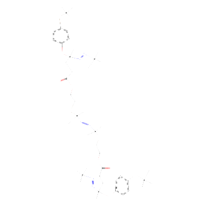 CC(C)(C)N=NC(C)(CCC(=O)OCCSC(C)(C)N=NC(C)(C)SCCOC(=O)CCC(C)(N=NC(C)(C)C)Oc1ccc(SC(C)(C)C)cc1)Oc1ccc(SC(C)(C)C)cc1